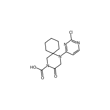 O=C(O)N1CC2(CCCCC2)N(c2ccnc(Cl)n2)CC1=O